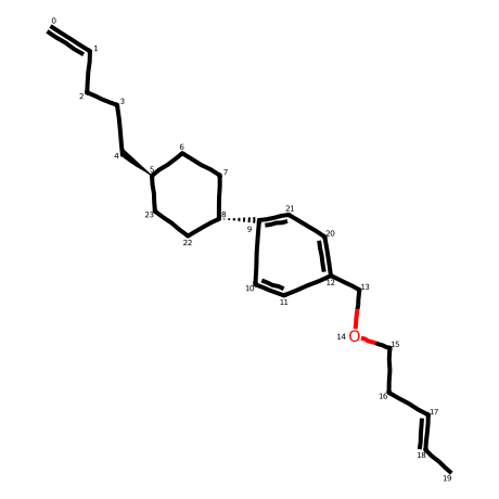 C=CCCC[C@H]1CC[C@H](c2ccc(COCCC=CC)cc2)CC1